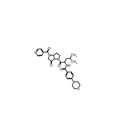 CC(C)CC(NC(=O)c1ccc(N2CCOCC2)cc1)C(=O)N1CCC2C1C(=O)CN2C(=O)c1ccncc1